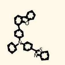 c1ccc(N(c2ccc(-c3nc4ccccc4s3)cc2)c2ccc(-c3cccc4c3oc3ccccc34)cc2)cc1